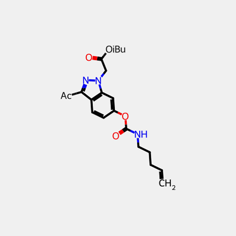 C=CCCCNC(=O)Oc1ccc2c(C(C)=O)nn(CC(=O)OCC(C)C)c2c1